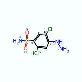 Cl.NNc1ccc(S(N)(=O)=O)cc1Cl